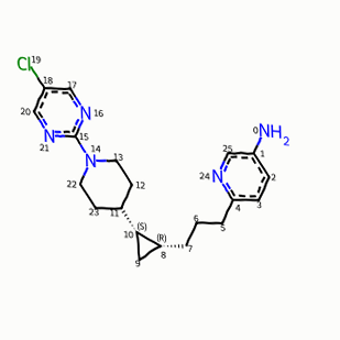 Nc1ccc(CCC[C@@H]2C[C@@H]2C2CCN(c3ncc(Cl)cn3)CC2)nc1